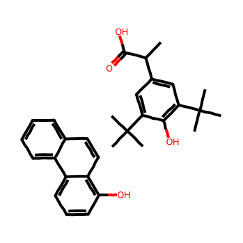 CC(C(=O)O)c1cc(C(C)(C)C)c(O)c(C(C)(C)C)c1.Oc1cccc2c1ccc1ccccc12